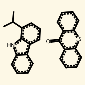 CC(C)c1cccc2c1[nH]c1ccccc12.O=c1c2ccccc2sc2ccccc12